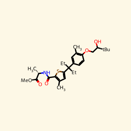 CCC(CC)(c1ccc(OCC(O)C(C)(C)C)c(C)c1)c1cc(C)c(C(=O)N[C@@H](C)C(=O)OC)s1